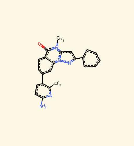 Cn1c(=O)c2ccc(-c3ccc(N)nc3C(F)(F)F)cc2n2nc(-c3ccccc3)cc12